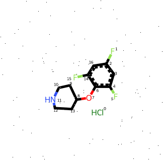 Cl.Fc1cc(F)c(OC2CCNCC2)c(F)c1